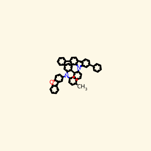 Cc1ccc(N(c2ccc3oc4ccccc4c3c2)c2ccccc2-c2ccccc2-n2c3cc(-c4ccccc4)ccc3c3ccc(-c4ccccc4)cc32)cc1